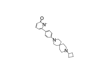 Cn1c(-c2ccc(N3CCC4(CC3)CCN(C3CCC3)CC4)cc2)cccc1=O